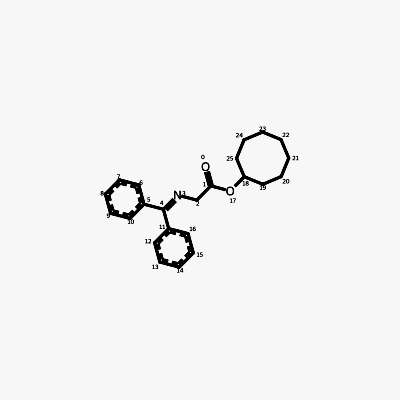 O=C(CN=C(c1ccccc1)c1ccccc1)OC1CCCCCCC1